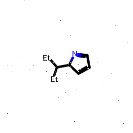 CCC(CC)C1C=CC=N1